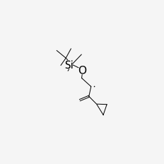 C=C([CH]CO[Si](C)(C)C(C)(C)C)C1CC1